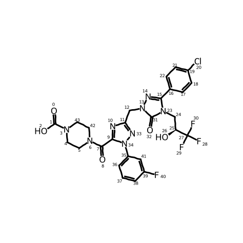 O=C(O)N1CCN(C(=O)c2nc(Cn3nc(-c4ccc(Cl)cc4)n(C[C@H](O)C(F)(F)F)c3=O)nn2-c2cccc(F)c2)CC1